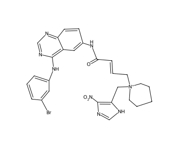 O=C(/C=C/C[N+]1(Cc2[nH]cnc2[N+](=O)[O-])CCCCC1)Nc1ccc2ncnc(Nc3cccc(Br)c3)c2c1